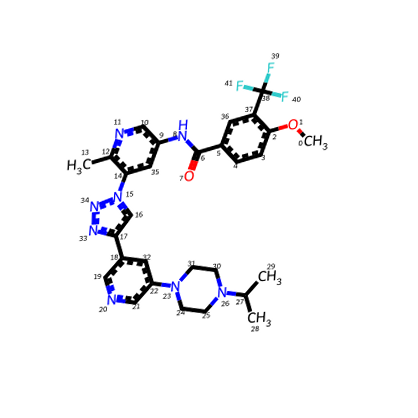 COc1ccc(C(=O)Nc2cnc(C)c(-n3cc(-c4cncc(N5CCN(C(C)C)CC5)c4)nn3)c2)cc1C(F)(F)F